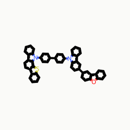 c1ccc2c(c1)oc1ccc(-c3ccc4c(c3)c3ccccc3n4-c3ccc(-c4ccc(-n5c6ccccc6c6ccc7c8ccccc8sc7c65)cc4)cc3)cc12